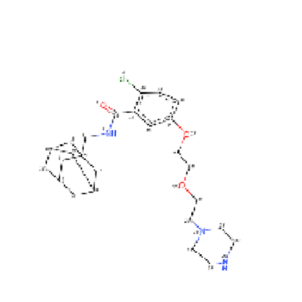 O=C(NCC12CC3CC(CC(C3)C1)C2)c1cc(OCCOCCN2CCNCC2)ccc1Cl